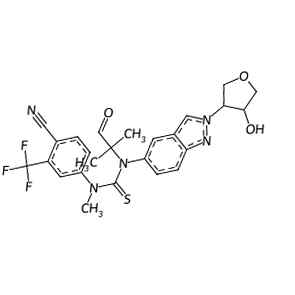 CN(C(=S)N(c1ccc2nn(C3COCC3O)cc2c1)C(C)(C)C=O)c1ccc(C#N)c(C(F)(F)F)c1